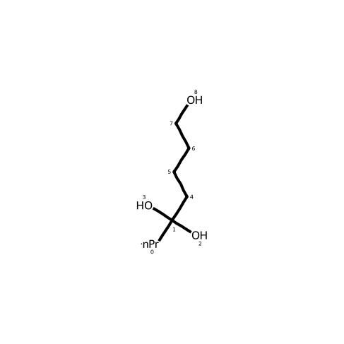 CC[CH]C(O)(O)CCCCO